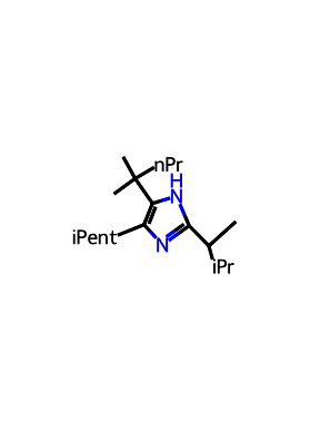 CCCC(C)c1nc(C(C)C(C)C)[nH]c1C(C)(C)CCC